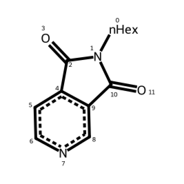 CCCCCCN1C(=O)c2ccncc2C1=O